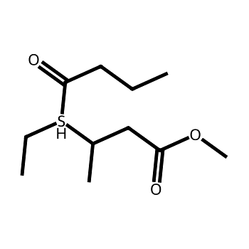 CCCC(=O)[SH](CC)C(C)CC(=O)OC